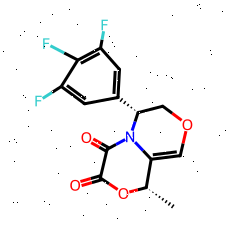 C[C@@H]1OC(=O)C(=O)N2C1=COC[C@H]2c1cc(F)c(F)c(F)c1